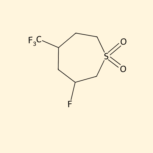 O=S1(=O)CCC(C(F)(F)F)CC(F)C1